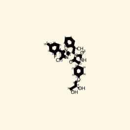 C[C@@H](c1ccccc1)[C@@H](c1nc(Cl)c(-c2ccc(I)cc2F)[nH]1)N1C(=O)N[C@H](c2ccc(OC[C@H](O)CO)cc2)C1=O